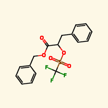 O=C(OCc1ccccc1)C(Cc1ccccc1)OS(=O)(=O)C(F)(F)F